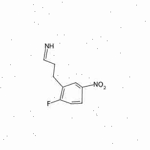 N=CCCc1cc([N+](=O)[O-])ccc1F